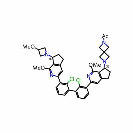 COc1nc(-c2cccc(-c3cccc(-c4cc5c(c(OC)n4)[C@@H](N4CC6(CN(C(C)=O)C6)C4)CC5)c3Cl)c2Cl)cc2c1[C@@H](N1CC(OC)C1)CC2